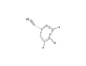 C#Cc1cc(F)c(Cl)c(F)c1